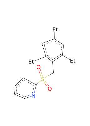 CCc1cc(CC)c(CS(=O)(=O)c2ccccn2)c(CC)c1